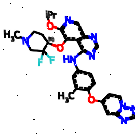 Cc1cc(Nc2ncnc3cnc(OC(C)C)c(O[C@@H]4CCN(C)CC4(F)F)c23)ccc1Oc1ccn2ncnc2c1